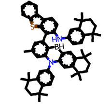 Cc1cc(-c2c(Nc3ccc4c(c3)C(C)(C)CCC4(C)C)ccc3c2sc2ccccc23)c2c(c1)N(c1ccc3c(c1)C(C)(C)CCC3(C)C)c1cc3c(cc1B2)C(C)(C)CCC3(C)C